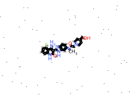 CN(C(=O)CN1CCC(CO)CC1)c1ccc2nc(-c3c(N)c4c(F)cccc4[nH]c3=O)[nH]c2c1